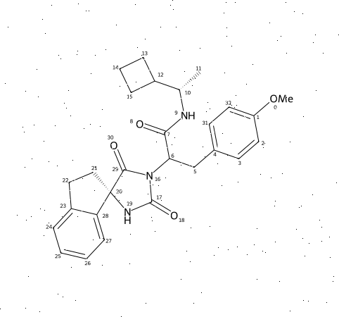 COc1ccc(CC(C(=O)N[C@@H](C)C2CCC2)N2C(=O)N[C@]3(CCc4ccccc43)C2=O)cc1